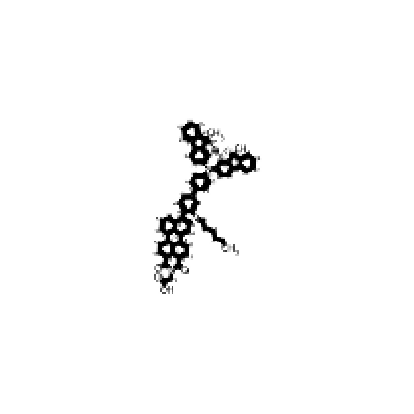 CCCCCCn1c2cc(-c3ccc(N(c4ccc5c(c4)C(C)(C)c4ccccc4-5)c4ccc5c(c4)C(C)(C)c4ccccc4-5)cc3)ccc2c2c3cccc4c5ccc6c7c(ccc(c(cc21)c43)c75)C(=O)N(CC(=O)O)C6=O